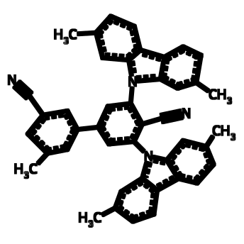 Cc1cc(C#N)cc(-c2cc(-n3c4cc(C)ccc4c4ccc(C)cc43)c(C#N)c(-n3c4cc(C)ccc4c4ccc(C)cc43)c2)c1